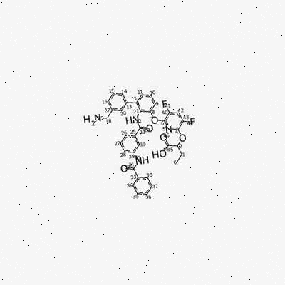 CCC(Oc1nc(Oc2cccc(-c3cccc(CN)c3)c2NC(=O)c2cccc(NC(=O)c3ccccc3)c2)c(F)cc1F)C(=O)O